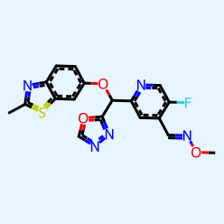 CO/N=C/c1cc(C(Oc2ccc3nc(C)sc3c2)c2nnco2)ncc1F